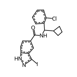 O=C(NC(c1ccccc1Cl)C1CCC1)c1ccc2[nH]nc(I)c2c1